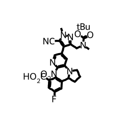 CN(Cc1nn(C)c(C#N)c1-c1cnc([N+](=O)[O-])c(N2CCCC2c2cc(F)cc(C(=O)O)c2)c1)C(=O)OC(C)(C)C